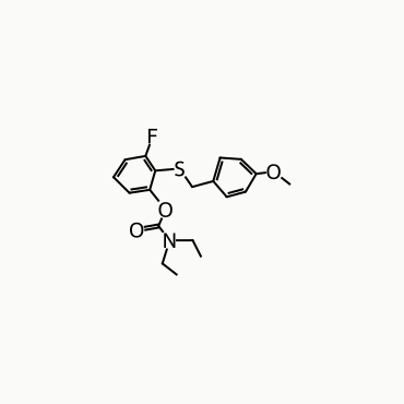 CCN(CC)C(=O)Oc1cccc(F)c1SCc1ccc(OC)cc1